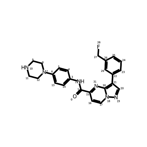 O=C(Nc1ccc(N2CCNCC2)cc1)c1ccn2ncc(-c3cccc(CF)c3)c2n1